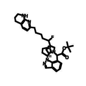 CC(C)(C)OC(=O)C(c1cccc2cnn([C@@H]3CCOC3)c12)N1CCC(C(F)CCCCc2ccc3c(n2)NCCC3)C1